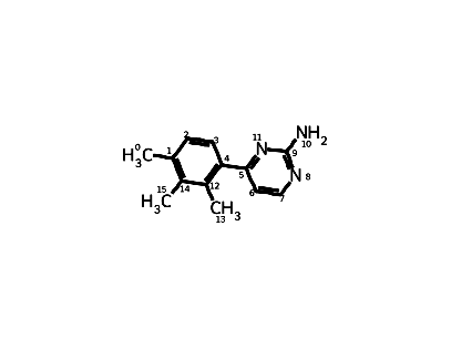 Cc1ccc(-c2ccnc(N)n2)c(C)c1C